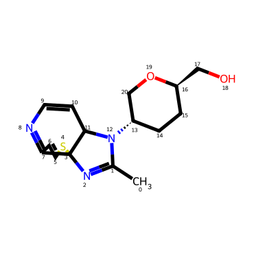 CC1=NC23SC=CC2=NC=CC3N1[C@H]1CC[C@H](CO)OC1